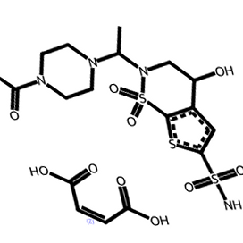 CC(=O)N1CCN(C(C)N2CC(O)c3cc(S(N)(=O)=O)sc3S2(=O)=O)CC1.O=C(O)/C=C\C(=O)O